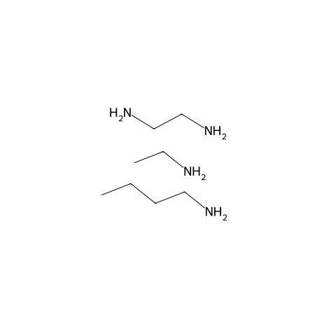 CCCCN.CCN.NCCN